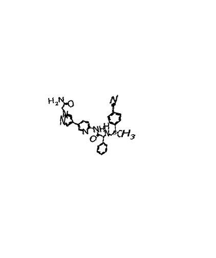 C[C@H](CNC(C(=O)Nc1ccc(-c2cnn(CC(N)=O)c2)cn1)c1ccccc1)c1ccc(C#N)cc1